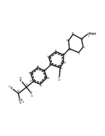 CCCCCC1CCC(c2ccc(-c3ccc(C(F)(F)C(F)C(F)(F)F)cc3)c(F)c2)CC1